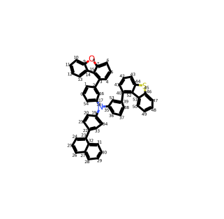 c1cc(-c2cccc3oc4ccccc4c23)cc(N(c2ccc(-c3cccc4ccccc34)cc2)c2cccc(-c3cccc4sc5ccccc5c34)c2)c1